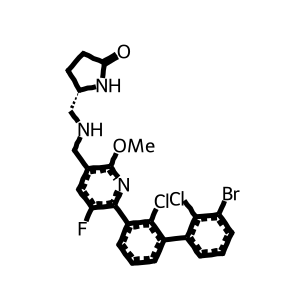 COc1nc(-c2cccc(-c3cccc(Br)c3Cl)c2Cl)c(F)cc1CNC[C@@H]1CCC(=O)N1